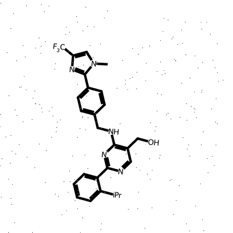 CC(C)c1ccccc1-c1ncc(CO)c(NCc2ccc(-c3nc(C(F)(F)F)cn3C)cc2)n1